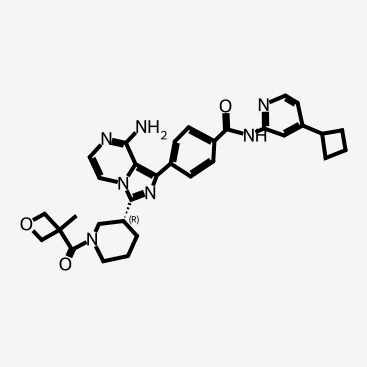 CC1(C(=O)N2CCC[C@@H](c3nc(-c4ccc(C(=O)Nc5cc(C6CCC6)ccn5)cc4)c4c(N)nccn34)C2)COC1